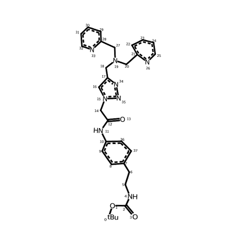 CC(C)(C)OC(=O)NCCc1ccc(NC(=O)Cn2cc(CN(Cc3ccccn3)Cc3ccccn3)nn2)cc1